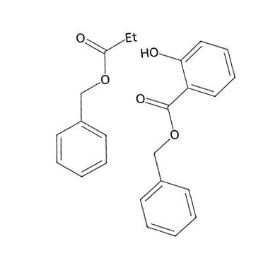 CCC(=O)OCc1ccccc1.O=C(OCc1ccccc1)c1ccccc1O